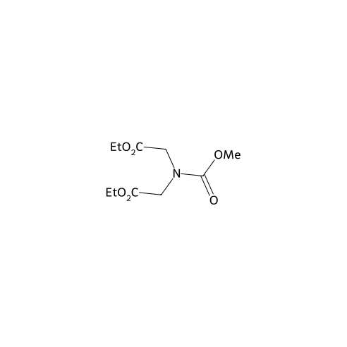 [CH2]OC(=O)N(CC(=O)OCC)CC(=O)OCC